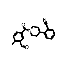 Cc1ccc(C(=O)N2CCC(c3ccccc3C#N)CC2)cc1C=O